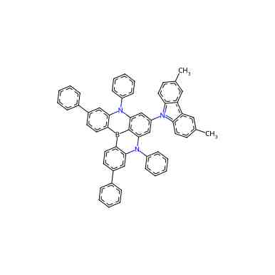 Cc1ccc2c(c1)c1cc(C)ccc1n2-c1cc2c3c(c1)N(c1ccccc1)c1cc(-c4ccccc4)ccc1B3c1ccc(-c3ccccc3)cc1N2c1ccccc1